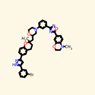 CN1CCOc2cc(-c3nc(-c4cccc(N5CCOC(CC6(C)CCc7cc(-c8cc(-c9cccc(Br)c9)[nH]n8)ccc7O6)C5)c4)no3)ccc21